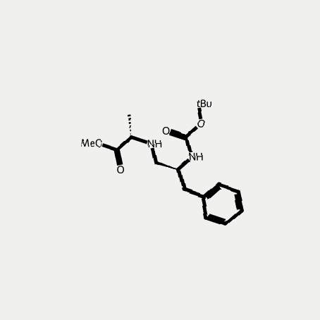 COC(=O)[C@H](C)NC[C@H](Cc1ccccc1)NC(=O)OC(C)(C)C